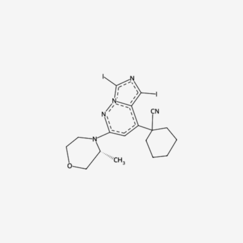 C[C@@H]1COCCN1c1cc(C2(C#N)CCCCC2)c2c(I)nc(I)n2n1